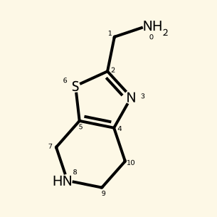 NCc1nc2c(s1)CNCC2